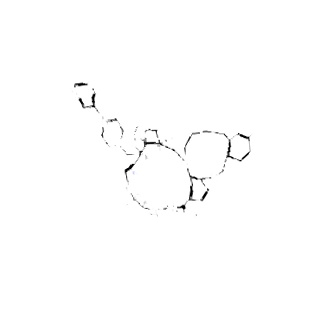 CO[C@@]1(CN2CCN(c3cncnc3)CC2)/C=C/C[C@H](C)[C@@H](C)S(=O)(=O)NC(=O)c2ccc3c(c2)N(CCCCc2cc(Cl)ccc2CO3)C[C@@H]2CC[C@H]21